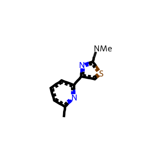 CNc1nc(-c2cccc(C)n2)cs1